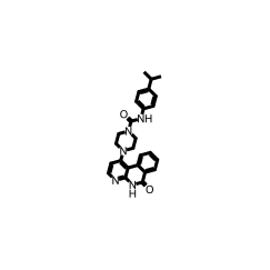 CC(C)c1ccc(NC(=O)N2CCN(c3ccnc4[nH]c(=O)c5ccccc5c34)CC2)cc1